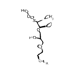 C=CCOCC(O)COC(=O)C(C)SOOO